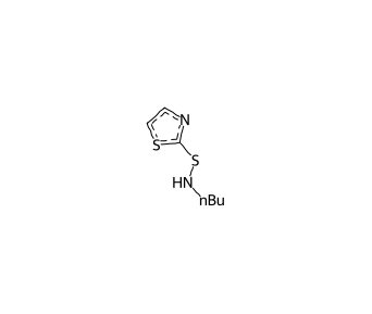 CCCCNSc1nccs1